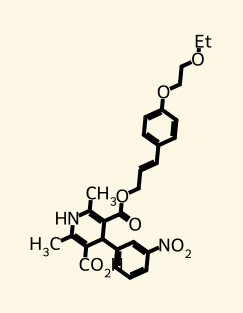 CCOCCOc1ccc(C=CCOC(=O)C2=C(C)NC(C)=C(C(=O)O)C2c2cccc([N+](=O)[O-])c2)cc1